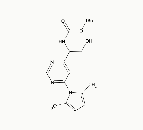 Cc1ccc(C)n1-c1cc(C(CO)NC(=O)OC(C)(C)C)ncn1